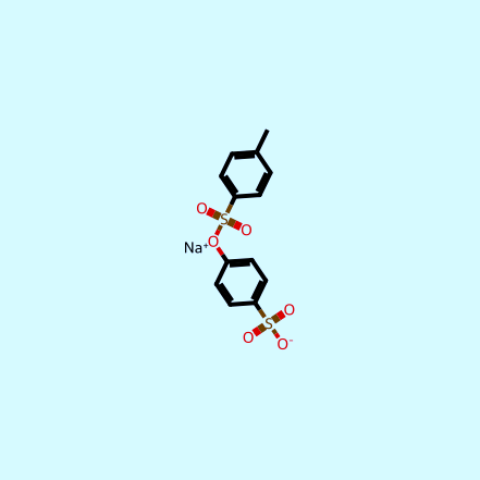 Cc1ccc(S(=O)(=O)Oc2ccc(S(=O)(=O)[O-])cc2)cc1.[Na+]